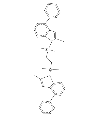 CC1=Cc2c(-c3ccccc3)cccc2[CH]1[Zr]([CH3])([CH3])[CH2][CH2][Zr]([CH3])([CH3])[CH]1C(C)=Cc2c(-c3ccccc3)cccc21